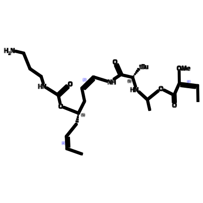 C/C=C\C[C@@H](C/C=C\NC(=O)[C@@H](NC(C)OC(=O)/C(=C\C)OC)C(C)(C)C)OC(=O)NCCCN